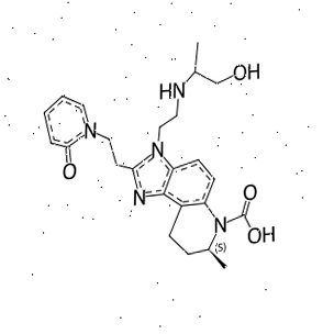 CC(CO)NCCn1c(CCn2ccccc2=O)nc2c3c(ccc21)N(C(=O)O)[C@@H](C)CC3